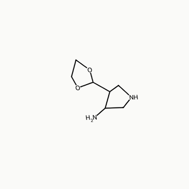 NC1CNCC1C1OCCO1